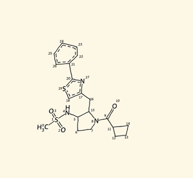 CS(=O)(=O)NC1CCN(C(=O)C2CCC2)C1Cc1csc(-c2ccccc2)n1